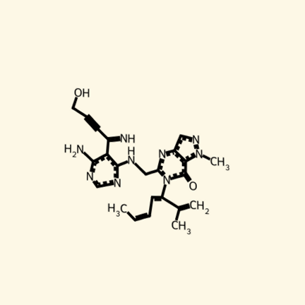 C=C(C)/C(=C\C=C/C)n1c(CNc2ncnc(N)c2C(=N)C#CCO)nc2cnn(C)c2c1=O